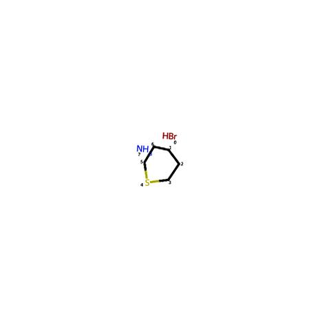 Br.C1CCSCC1.N